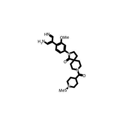 COc1cc(N2CCC3(CCN(C(=O)C4CCN(SC)CC4)CC3)C2=O)ccc1/C(C=N)=C/N